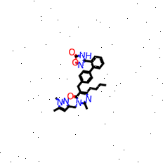 CCCCc1nc(C)n(Cc2cc(C)n(C)n2)c(=O)c1Cc1ccc(-c2ccccc2-c2noc(=O)[nH]2)cc1